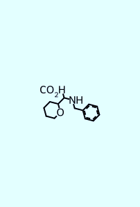 O=C(O)C(NCc1ccccc1)C1CCCCO1